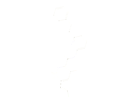 CN1C(C(=O)Nc2cccc(CCc3ccccc3)n2)=C(O)c2sc(Cl)cc2S1(=O)=O